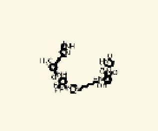 Cc1ccc(C(=O)Nc2ccc(CN3CCN(CCCCCCC(O)Nc4cccc5c4C(=O)N(C4CCC(=O)NC4=O)C5=O)CC3)c(C(F)(F)F)c2)cc1C#Cc1cnc2[nH]ncc2c1